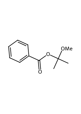 COC(C)(C)OC(=O)c1ccccc1